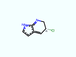 Cl[C@@H]1C=c2cc[nH]c2=NC1